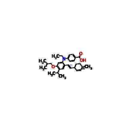 CCN(c1ccc(C(=O)O)cc1)c1cc(OCC(C)C)c(C(C)C)cc1/C=C/C1C=C[C@H](C)CC1